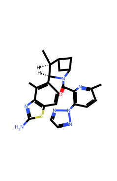 Cc1ccc(-n2nccn2)c(C(=O)N2C3CC(C3)[C@H](C)[C@@H]2c2ccc3sc(N)nc3c2C)n1